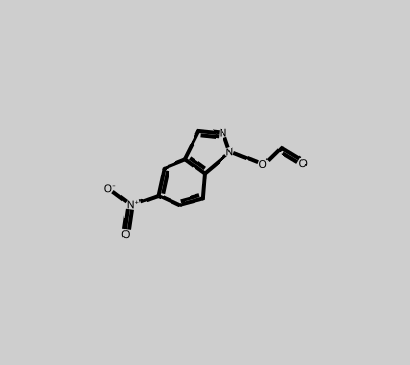 O=COn1ncc2cc([N+](=O)[O-])ccc21